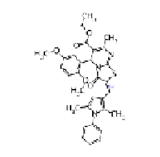 CCOC(=O)C1=C(C)N=c2s/c(=C/c3cc(C)n(-c4ccccc4)c3C)c(=O)n2C1c1cc(OC)ccc1OC